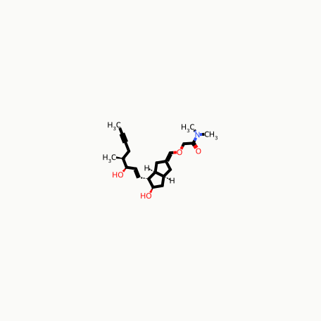 CC#CC[C@H](C)[C@H](O)C=C[C@@H]1[C@H]2CC(=COCC(=O)N(C)C)C[C@H]2C[C@H]1O